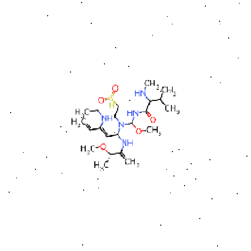 C=C/C(=C/C(NC(=C)[C@H](C)OC)N(CC[SH](=O)=O)C(NC(=O)[C@@H](NC)C(C)C)OC)NCC